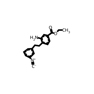 [C-]#[N+]c1cccc(CCc2ccc(C(=O)OCC)cc2N)c1